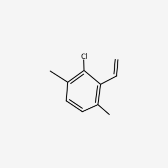 C=Cc1c(C)ccc(C)c1Cl